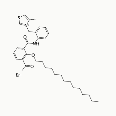 CCCCCCCCCCCCCCOc1c(C(C)=O)cccc1C(=O)Nc1ccccc1C[n+]1cscc1C.[Br-]